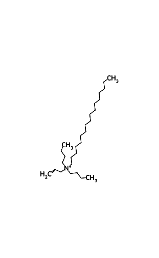 C=CC[N+](CCCC)(CCCC)CCCCCCCCCCCCCCCCC